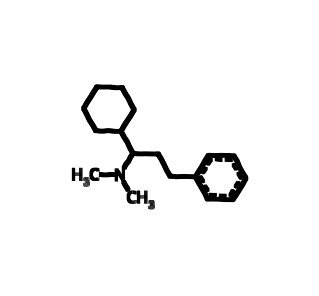 CN(C)C(CCc1ccccc1)C1CCCCC1